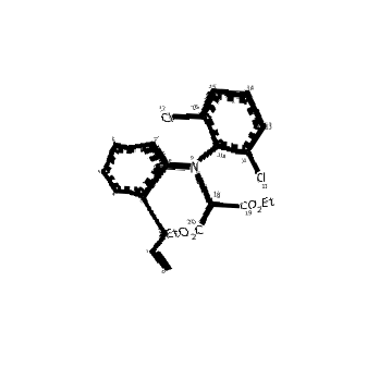 C=CCc1ccccc1N(c1c(Cl)cccc1Cl)C(C(=O)OCC)C(=O)OCC